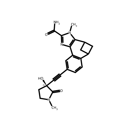 CN1CC[C@](O)(C#Cc2ccc3c(c2)-c2nc(C(N)=O)n(C)c2C2CC3C2)C1=O